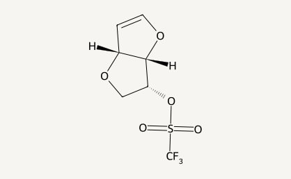 O=S(=O)(O[C@@H]1CO[C@@H]2C=CO[C@@H]21)C(F)(F)F